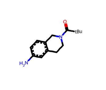 CC(C)(C)C(=O)N1CCc2cc(N)ccc2C1